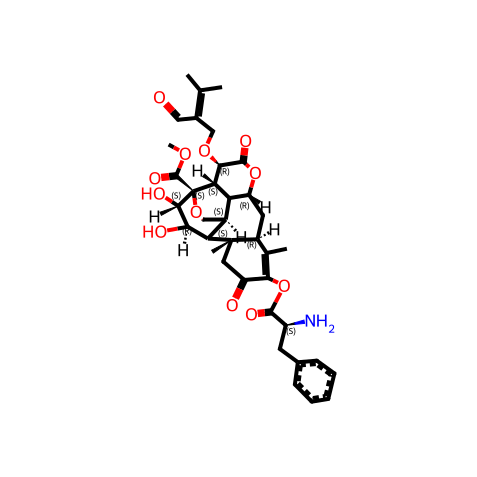 COC(=O)[C@@]12OC[C@H]3C4[C@@H](C[C@H]5C(C)=C(OC(=O)[C@@H](N)Cc6ccccc6)C(=O)C[C@]5(C)C3[C@@H](O)[C@@H]1O)OC(=O)[C@H](OCC(C=O)=C(C)C)[C@H]42